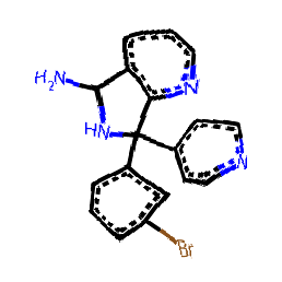 NC1NC(c2ccncc2)(c2cccc(Br)c2)c2ncccc21